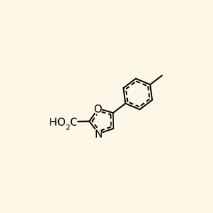 Cc1ccc(-c2cnc(C(=O)O)o2)cc1